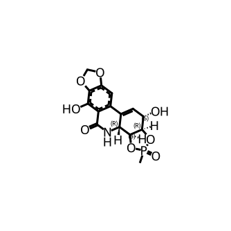 CP1(=O)O[C@@H]2[C@H](O1)[C@@H](O)C=C1c3cc4c(c(O)c3C(=O)N[C@H]12)OCO4